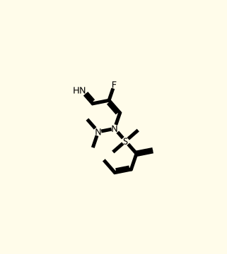 C=C(/C=C\C)S(C)(C)N(/C=C(/F)C=N)N(C)C